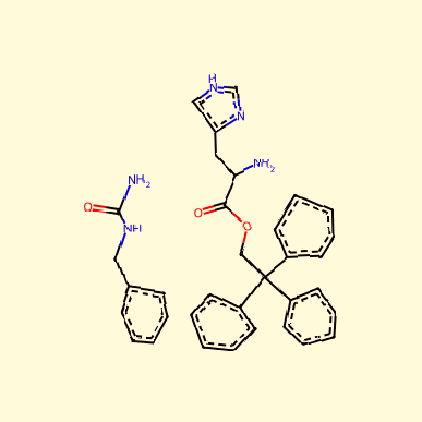 NC(=O)NCc1ccccc1.NC(Cc1c[nH]cn1)C(=O)OCC(c1ccccc1)(c1ccccc1)c1ccccc1